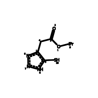 CC(C)OC(=O)Cc1nn[nH]c1S